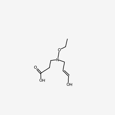 CCON(CC=CO)CCC(=O)O